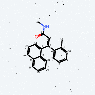 CNC(=O)/C=C(/c1ccccc1C)c1cccc2ccccc12